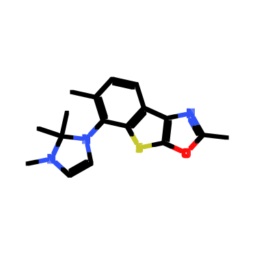 Cc1nc2c(o1)sc1c(N3C=CN(C)C3(C)C)c(C)ccc12